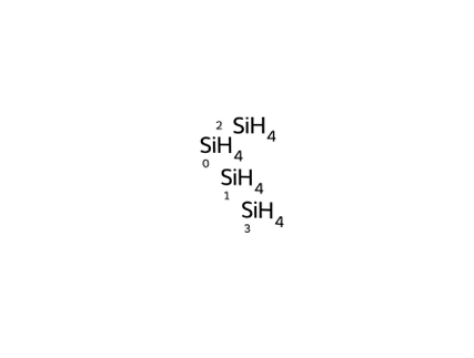 [SiH4].[SiH4].[SiH4].[SiH4]